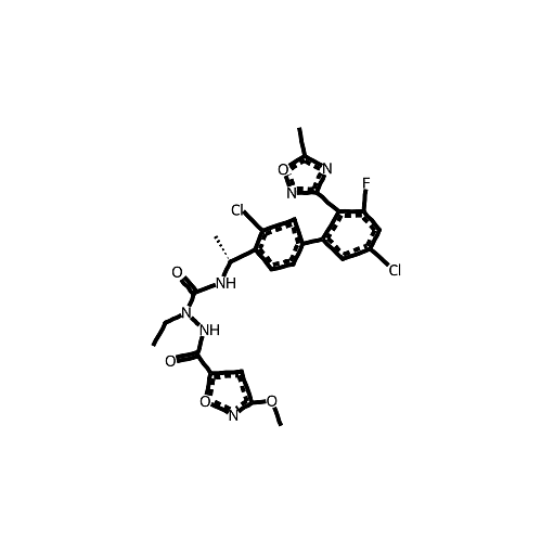 CCN(NC(=O)c1cc(OC)no1)C(=O)N[C@H](C)c1ccc(-c2cc(Cl)cc(F)c2-c2noc(C)n2)cc1Cl